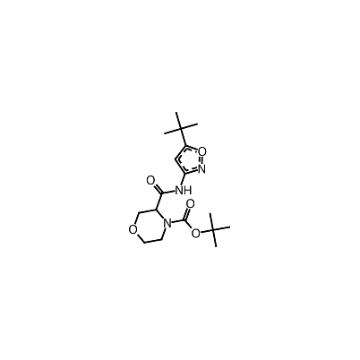 CC(C)(C)OC(=O)N1CCOCC1C(=O)Nc1cc(C(C)(C)C)on1